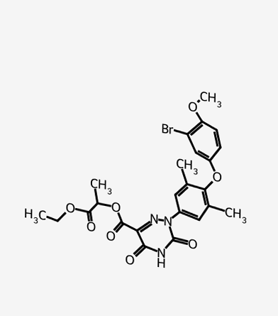 CCOC(=O)C(C)OC(=O)c1nn(-c2cc(C)c(Oc3ccc(OC)c(Br)c3)c(C)c2)c(=O)[nH]c1=O